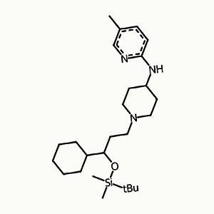 Cc1ccc(NC2CCN(CCC(O[Si](C)(C)C(C)(C)C)C3CCCCC3)CC2)nc1